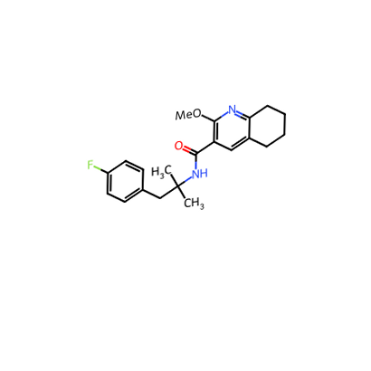 COc1nc2c(cc1C(=O)NC(C)(C)Cc1ccc(F)cc1)CCCC2